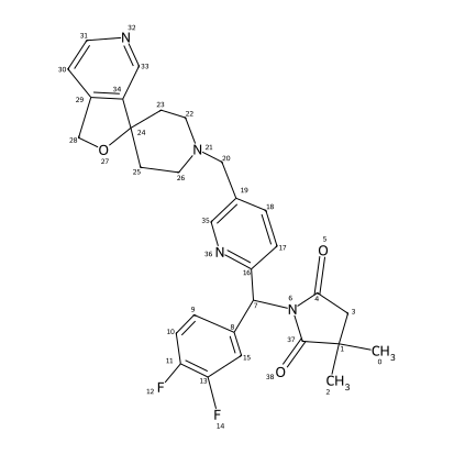 CC1(C)CC(=O)N(C(c2ccc(F)c(F)c2)c2ccc(CN3CCC4(CC3)OCc3ccncc34)cn2)C1=O